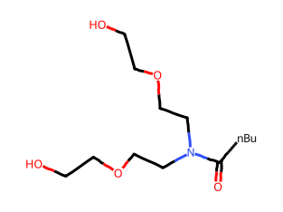 CCCCC(=O)N(CCOCCO)CCOCCO